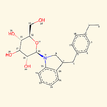 CCc1ccc(CC2CN([C@@H]3O[C@H](CO)[C@@H](O)C(O)[C@H]3O)c3ccccc32)cc1